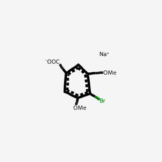 COc1cc(C(=O)[O-])cc(OC)c1Br.[Na+]